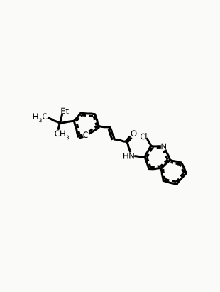 CCC(C)(C)c1ccc(C=CC(=O)Nc2cc3ccccc3nc2Cl)cc1